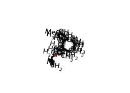 Bn1cc(CCN(C)[C@H]2CC(C)O[C@H](O[C@@H]3[C@@H](C)[C@H](O[C@H]4C[C@@](C)(OC)[C@@H](O)[C@@H](C)O4)[C@@H](C)C(=O)O[C@H](CC)[C@@](C)(O)C(O)[C@H](C)N(C)C[C@H](C)C[C@@]3(C)O)[C@@H]2O)nn1